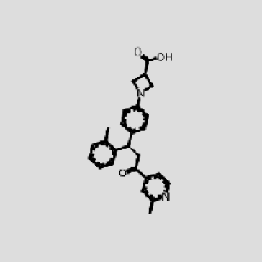 Cc1cc(C(=O)C[C@H](c2ccc(N3CC(C(=O)O)C3)cc2)c2ccccc2C)ccn1